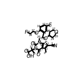 Cc1c(C#N)sc2c1c(=O)n(C(C)(C)C(=O)O)c(=O)n2C[C@@H](OC1CCOCC1)c1cc(F)ccc1OCCF